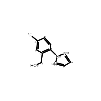 OCc1cc(F)ccc1-n1nccn1